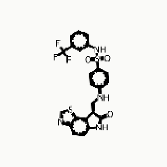 O=C1Nc2ccc3ncsc3c2C1=CNc1ccc(S(=O)(=O)Nc2cccc(C(F)(F)F)c2)cc1